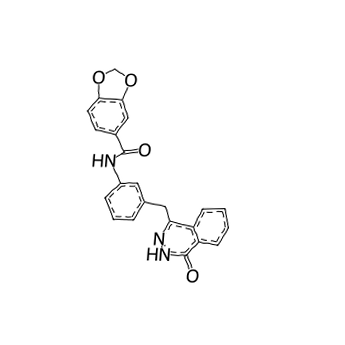 O=C(Nc1cccc(Cc2n[nH]c(=O)c3ccccc23)c1)c1ccc2c(c1)OCO2